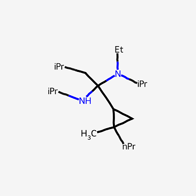 CCCC1(C)CC1C(CC(C)C)(NC(C)C)N(CC)C(C)C